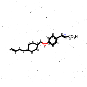 C=CCCC1CCC(COc2ccc(/C=C/C(=O)O)cc2)CC1